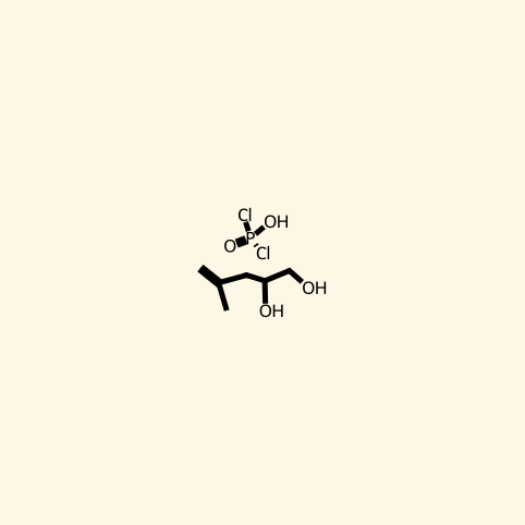 C=C(C)CC(O)CO.O=P(O)(Cl)Cl